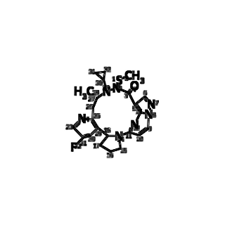 CSN1C(=O)c2cnn3ccc(nc23)N2CCCC2c2cc(F)cnc2C[C@H](C)N1C1CC1